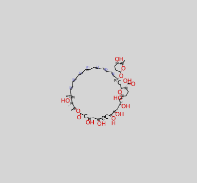 C[C@@H]1[C@H](O)[C@@H](C)/C=C/C=C/C=C/C=C/C=C/C=C/C=C/[C@H](OC2CC[C@H](O)[C@@H](C)O2)CC2O[C@@](O)(CC[C@H]2C(=O)O)CC(O)C[C@@H](O)[C@H](O)CC[C@@H](O)C[C@@H](O)CC(=O)O[C@H]1C